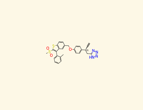 C#C[C@@H](Cc1nnn[nH]1)c1ccc(OCc2ccc3sc(S(C)(=O)=O)c(-c4ccccc4C)c3c2)cc1